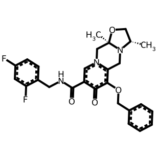 C[C@H]1CO[C@]2(C)Cn3cc(C(=O)NCc4ccc(F)cc4F)c(=O)c(OCc4ccccc4)c3CN12